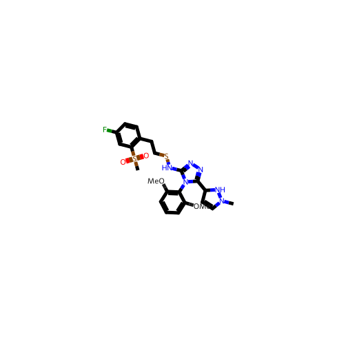 COc1cccc(OC)c1-n1c(NSCCc2ccc(F)cc2S(C)(=O)=O)nnc1C1C=CN(C)N1